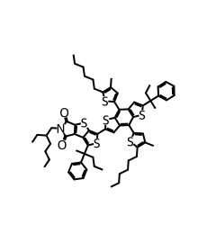 CCCCCCc1sc(-c2c3cc(C(C)(CC)c4ccccc4)sc3c(-c3cc(C)c(CCCCCC)s3)c3cc(-c4sc(C(C)(CCC)c5ccccc5)c5c6c(sc45)C(=O)N(CC(CC)CCCC)C6=O)sc23)cc1C